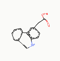 O=C(O)Cc1ccc2c(c1)-c1ccccc1C=CN2